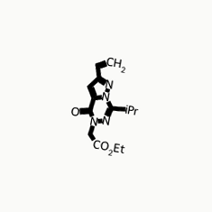 C=Cc1cc2c(=O)n(CC(=O)OCC)nc(C(C)C)n2n1